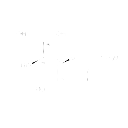 CC(O[C@H]([C@@H](O)[C@@H](O)C=O)[C@H](C)O)C(=O)O